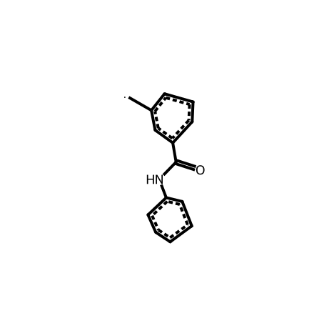 [CH2]c1cccc(C(=O)Nc2ccccc2)c1